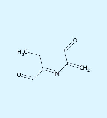 C=C(C=O)/N=C(/C=O)CC